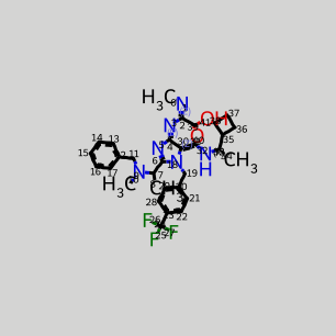 C\N=C(/N=C1/N=C(C(C)N(C)Cc2ccccc2)N(Cc2ccc(C(F)(F)F)cc2)/C1=C\N[C@H](C)C1CCC1)C(=O)O